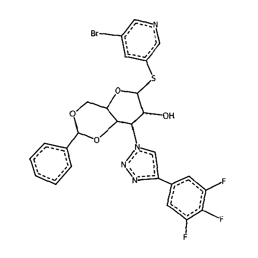 OC1C(Sc2cncc(Br)c2)OC2COC(c3ccccc3)OC2C1n1cc(-c2cc(F)c(F)c(F)c2)nn1